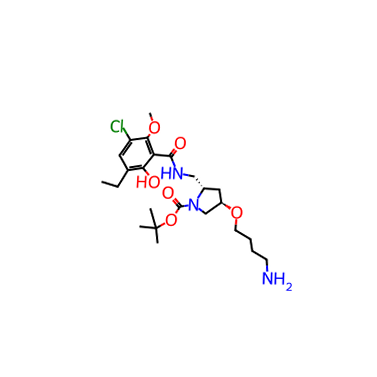 CCc1cc(Cl)c(OC)c(C(=O)NC[C@@H]2C[C@@H](OCCCCN)CN2C(=O)OC(C)(C)C)c1O